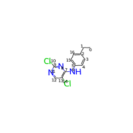 CCc1ccc(Nc2nc(Cl)ncc2Cl)cc1